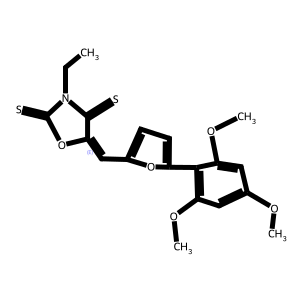 CCN1C(=S)O/C(=C/c2ccc(-c3c(OC)cc(OC)cc3OC)o2)C1=S